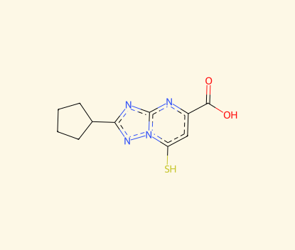 O=C(O)c1cc(S)n2nc(C3CCCC3)nc2n1